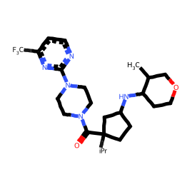 CC1COCCC1NC1CCC(C(=O)N2CCN(c3nccc(C(F)(F)F)n3)CC2)(C(C)C)C1